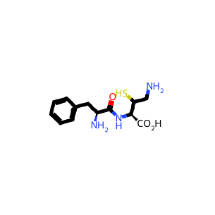 NCC(S)[C@H](NC(=O)[C@@H](N)Cc1ccccc1)C(=O)O